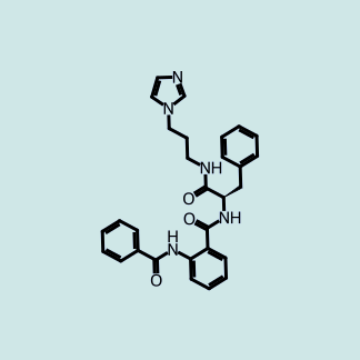 O=C(Nc1ccccc1C(=O)N[C@H](Cc1ccccc1)C(=O)NCCCn1ccnc1)c1ccccc1